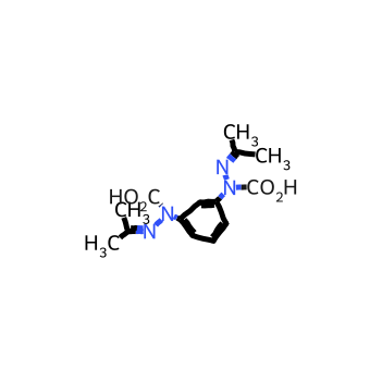 CC(C)=NN(C(=O)O)c1cccc(N(N=C(C)C)C(=O)O)c1